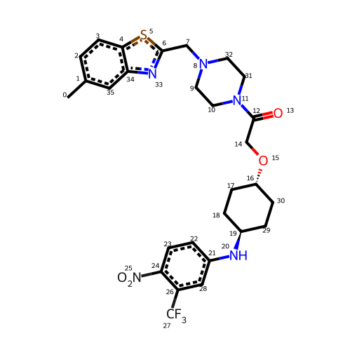 Cc1ccc2sc(CN3CCN(C(=O)CO[C@H]4CC[C@H](Nc5ccc([N+](=O)[O-])c(C(F)(F)F)c5)CC4)CC3)nc2c1